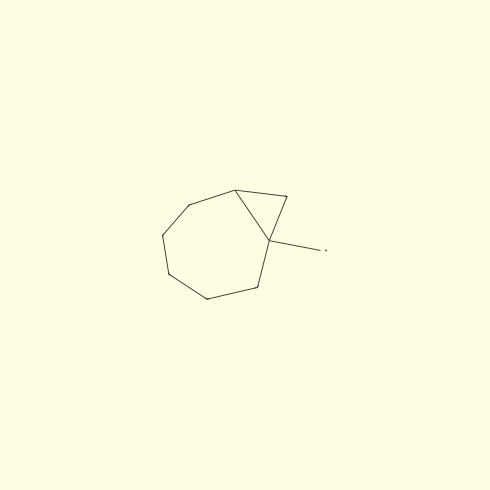 [CH2]C12CCCCCC1C2